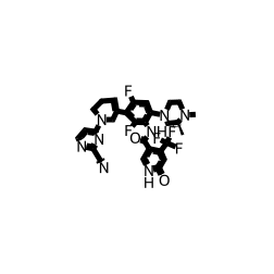 C[C@H]1CN(c2cc(F)c(C3=CCCN(c4ccnc(C#N)n4)C3)c(F)c2NC(=O)c2c[nH]c(=O)cc2C(F)(F)F)CCN1C